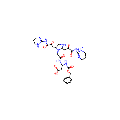 O=C(O)CC(NC(=O)CN1C(CC(=O)C(=O)NC2=NCCCN2)CNC1CC(=O)C(=O)NC1=NCCCN1)NC(=O)OCc1ccccc1